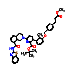 COC(=O)CCc1ccc(COc2cccc(-c3ccc(N4CCc5cccc(C(=O)Nc6nc7ccccc7s6)c5C4)nc3C(=O)OC(C)(C)C)c2C)cc1